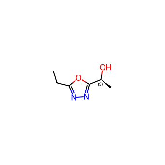 CCc1nnc([C@H](C)O)o1